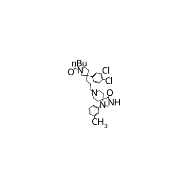 CCCCC(=O)N1CCC(CCCN2CCC3(CC2)C(=O)NCN3c2cccc(C)c2)(c2ccc(Cl)c(Cl)c2)C1